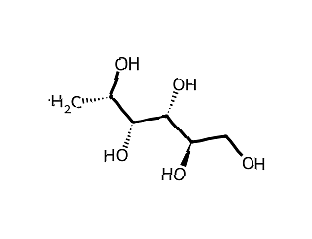 [CH2][C@H](O)[C@@H](O)[C@H](O)[C@H](O)CO